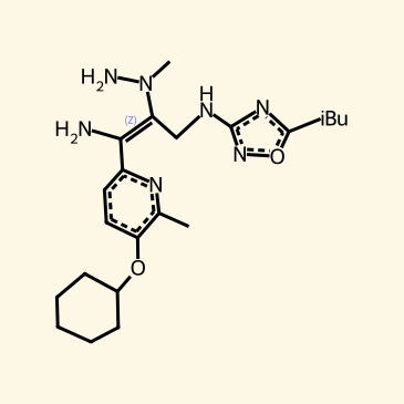 CCC(C)c1nc(NC/C(=C(/N)c2ccc(OC3CCCCC3)c(C)n2)N(C)N)no1